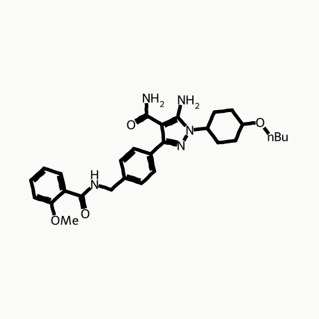 CCCCOC1CCC(n2nc(-c3ccc(CNC(=O)c4ccccc4OC)cc3)c(C(N)=O)c2N)CC1